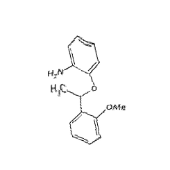 COc1ccccc1C(C)Oc1ccccc1N